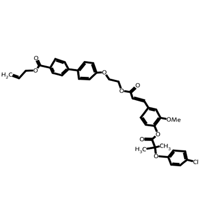 C=CCOC(=O)c1ccc(-c2ccc(OCCOC(=O)C=Cc3ccc(OC(=O)C(C)(C)Oc4ccc(Cl)cc4)c(OC)c3)cc2)cc1